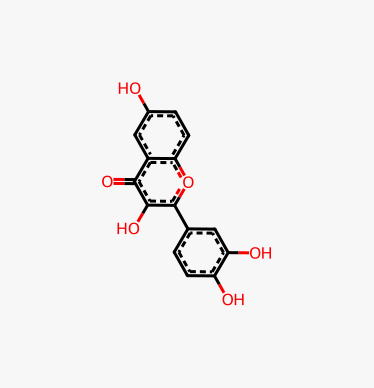 O=c1c(O)c(-c2ccc(O)c(O)c2)oc2ccc(O)cc12